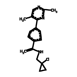 C=C(NCC1(Cl)CC1)c1ccc(-c2nc(C)ncc2C)cc1